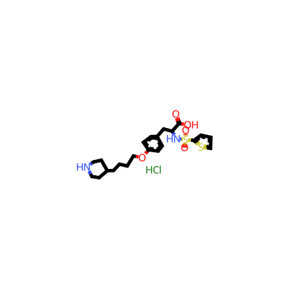 Cl.O=C(O)C(Cc1ccc(OCCCCC2CCNCC2)cc1)NS(=O)(=O)c1cccs1